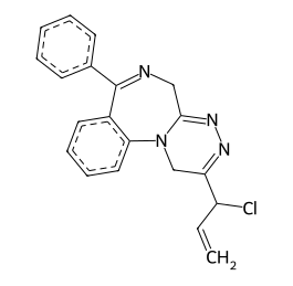 C=CC(Cl)C1=NN=C2CN=C(c3ccccc3)c3ccccc3N2C1